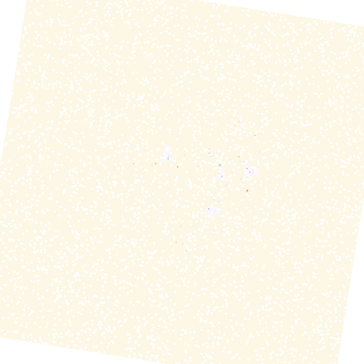 CC(C)(C)OC(=O)NCc1cccc(C2=NC(CC(=O)NCc3ccccc3F)C(=O)Nc3ccc(Cl)cc32)c1